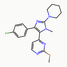 CSc1nccc(-c2c(-c3ccc(F)cc3)nc(N3CCCCC3)n2C)n1